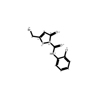 O=C(Nc1ccccc1Cl)n1sc(CBr)cc1=O